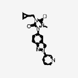 Cn1c(=O)n(CC2CC2)c(=O)n1-c1ccc2nn(-c3cccnc3)cc2c1